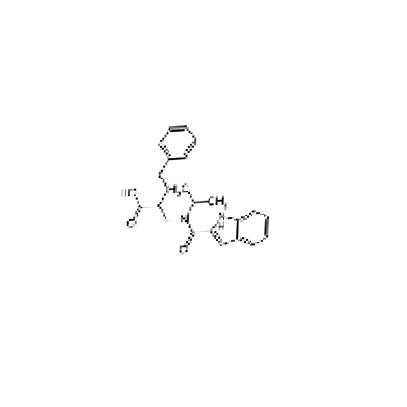 CC(C)N(CC(CCc1ccccc1)C(=O)O)C(=O)c1cc2ccccc2[nH]1